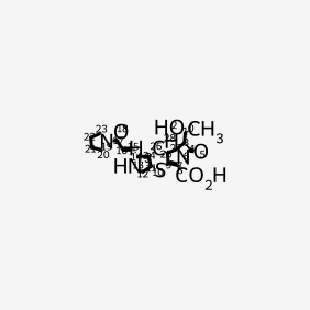 C[C@@H](O)[C@H]1C(=O)N2C(C(=O)O)=C(S[C@@H]3CN[C@H](/C=C/C(=O)N4CCCC4)C3)[C@H](C)[C@H]12